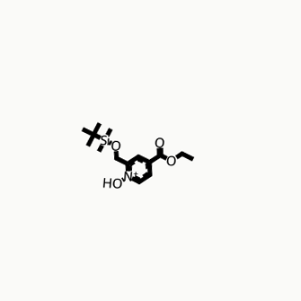 CCOC(=O)c1cc[n+](O)c(CO[Si](C)(C)C(C)(C)C)c1